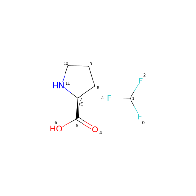 FC(F)F.O=C(O)[C@@H]1CCCN1